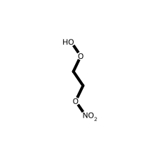 O=[N+]([O-])OCCOO